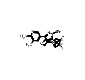 CC(C)n1nc(-c2cnc(N)c(C(F)(F)F)c2)cc1[C@]12C3[C@H]1[C@H]2CN3C1COC1